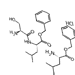 CC(C)C[C@H](N)C(=O)OCc1ccccc1.CC(C)C[C@H](NC(=O)[C@@H](N)CO)C(=O)OCc1ccccc1.Cl